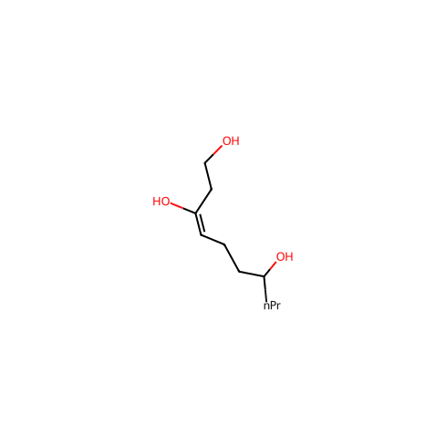 CCCC(O)CC/C=C(/O)CCO